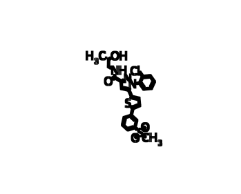 C[C@H](O)CNC(=O)c1cc(-c2ccc(-c3cccc(S(C)(=O)=O)c3)s2)n(-c2ccccc2Cl)n1